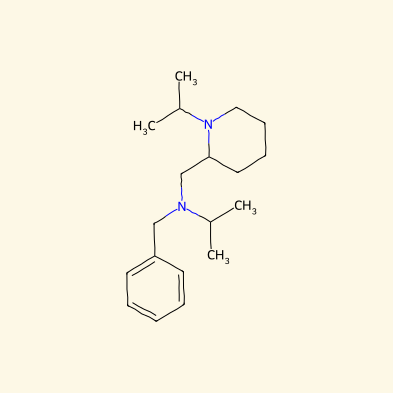 CC(C)N(Cc1ccccc1)CC1CCCCN1C(C)C